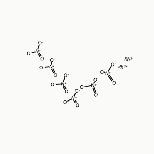 O=[N+]([O-])[O-].O=[N+]([O-])[O-].O=[N+]([O-])[O-].O=[N+]([O-])[O-].O=[N+]([O-])[O-].O=[N+]([O-])[O-].[Rh+3].[Rh+3]